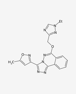 CCn1cnc(COc2nn3c(-c4cc(C)on4)nnc3c3ccccc23)n1